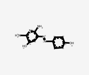 Nc1nc(N)c(N=Nc2ccc(O)cc2)cc1O